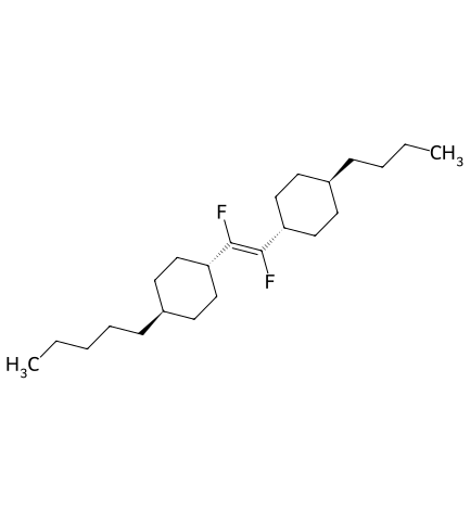 CCCCC[C@H]1CC[C@H](C(F)=C(F)[C@H]2CC[C@H](CCCC)CC2)CC1